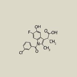 Cc1c([C@@H](C)C(=O)O)c2cc(O)c(F)cc2n1C(=O)c1cccc(Cl)c1